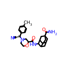 Cc1ccc([C@H](C#N)N2CCOC(C(=O)NC3C4CC5CC3CC(C(N)=O)(C5)C4)C2)cc1